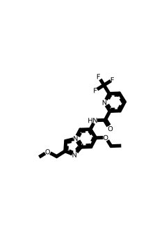 CCOc1cc2nc(COC)cn2cc1NC(=O)c1cccc(C(F)(F)F)n1